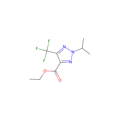 CCOC(=O)c1nn(C(C)C)nc1C(F)(F)F